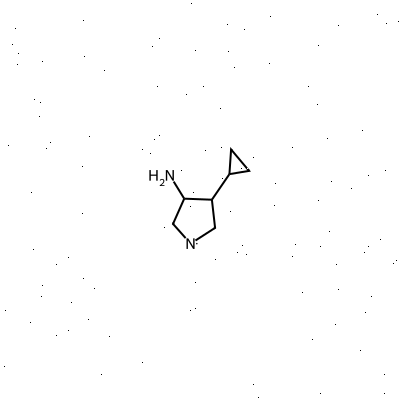 NC1C[N]CC1C1CC1